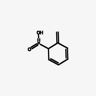 C=C1C=CC=CC1[PH](=O)O